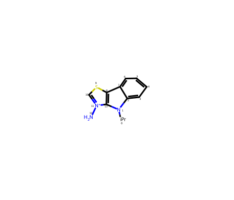 CC(C)n1c2ccccc2c2sc[n+](N)c21